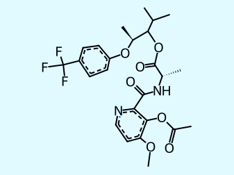 COc1ccnc(C(=O)N[C@@H](C)C(=O)OC(C(C)C)[C@H](C)Oc2ccc(C(F)(F)F)cc2)c1OC(C)=O